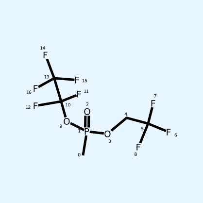 CP(=O)(OCC(F)(F)F)OC(F)(F)C(F)(F)F